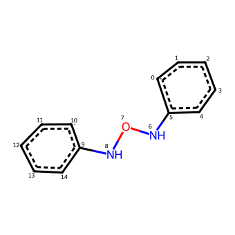 [c]1ccccc1NONc1[c]cccc1